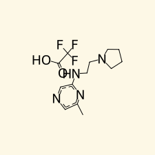 Cc1cncc(NCCN2CCCC2)n1.O=C(O)C(F)(F)F